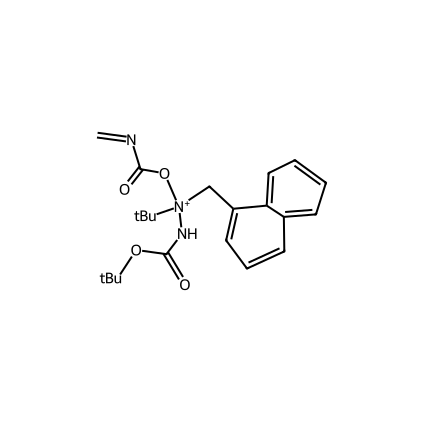 C=NC(=O)O[N+](Cc1cccc2ccccc12)(NC(=O)OC(C)(C)C)C(C)(C)C